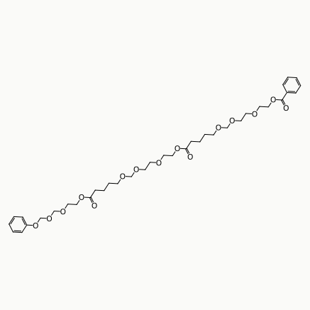 O=C(CCCCOCOCCOCCOC(=O)c1ccccc1)OCCOCCOCOCCCCC(=O)OCCOCOCOc1ccccc1